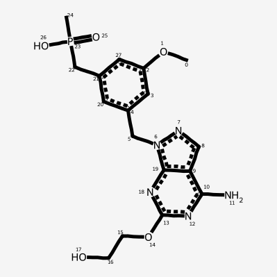 COc1cc(Cn2ncc3c(N)nc(OCCO)nc32)cc(CP(C)(=O)O)c1